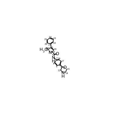 Cn1nc(C(=O)Nc2ccc(C3CNCCO3)cc2)cc1-c1ccccc1